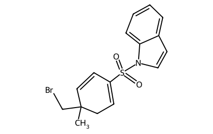 CC1(CBr)C=CC(S(=O)(=O)n2ccc3ccccc32)=CC1